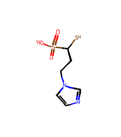 O=S(=O)(O)C(S)CCn1ccnc1